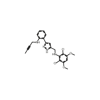 CC#CCNc1ccccc1-c1cc(CNc2c(Cl)c(OC)cc(OC)c2Cl)[nH]n1